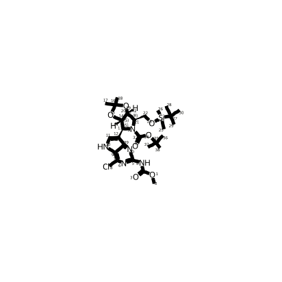 COC(=O)Nc1nc(Cl)c2[nH]cc([C@H]3[C@@H]4OC(C)(C)O[C@@H]4[C@@H](CO[Si](C)(C)C(C)(C)C)N3C(=O)OC(C)(C)C)c2n1